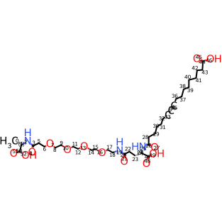 C[C@H](NC(=O)CCOCCOCCOCCOCCNC(=O)CC[C@H](NC(=O)CCCCCCCCCCCCCCCCC(=O)O)C(=O)O)C(=O)O